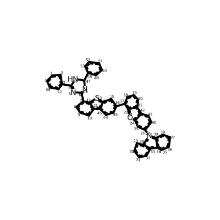 c1ccc(C2=NC(c3cccc4c3sc3cc(-c5cccc6c5oc5cc(-n7c8ccccc8c8ccccc87)ccc56)ccc34)=NC(c3ccccc3)N2)cc1